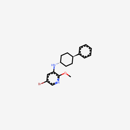 COc1ncc(Br)cc1N[C@H]1CC[C@H](c2ccccc2)CC1